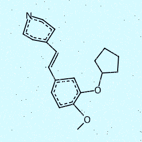 COc1ccc([C]=Cc2ccncc2)cc1OC1CCCC1